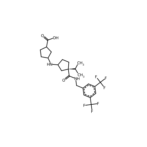 CC(C)[C@]1(C(=O)NCc2cc(C(F)(F)F)cc(C(F)(F)F)c2)CCC(NC2CCC(C(=O)O)C2)C1